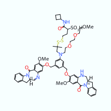 COCCOCCOCCN(CC(C)(C)SSCCC(C(=O)NC1CCC1)S(=O)(=O)O)c1cc(COc2cc3c(cc2OC)C(=O)N2c4ccccc4C[C@H]2C=N3)cc(COc2cc3c(cc2OC)C(=O)N2c4ccccc4C[C@H]2CN3)c1